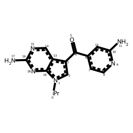 CC(C)n1cc(C(=O)c2ccnc(N)c2)c2cnc(N)nc21